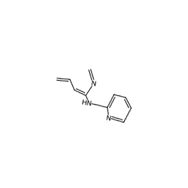 C=C/C=C(\N=C)Nc1ccccn1